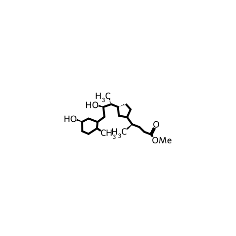 COC(=O)CC[C@@H](C)C1CC[C@@H]([C@@H](C)[C@H](O)CC2C[C@H](O)CCC2C)C1